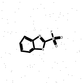 O=S(=O)(F)c1nc2ccccc2s1